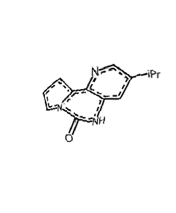 CC(C)c1cnc2c(c1)[nH]c(=O)n1cccc21